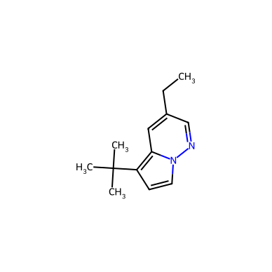 CCc1cnn2ccc(C(C)(C)C)c2c1